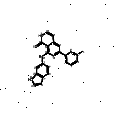 Cc1cccc(-c2cc3cc[nH]c(=O)c3c(Nc3ccc4cn[nH]c4c3)n2)n1